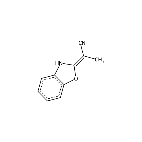 C/C(C#N)=C1/Nc2ccccc2O1